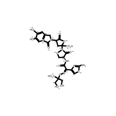 Nc1nc(/C(=N/OC(CO)(CO)C(=O)O)C(=O)N[C@H]2CON(C3(C(=O)O)CC(N4Cc5cc(O)c(O)c[n+]5C4=O)C(=O)O3)C2=O)cs1